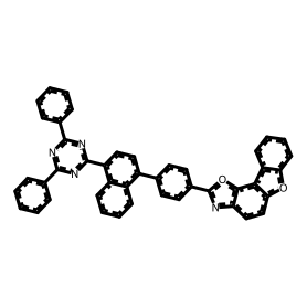 c1ccc(-c2nc(-c3ccccc3)nc(-c3ccc(-c4ccc(-c5nc6ccc7oc8ccccc8c7c6o5)cc4)c4ccccc34)n2)cc1